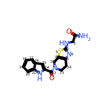 NC(=O)CNc1nc2c(s1)CN(C(=O)c1cc3ccccc3[nH]1)CC2